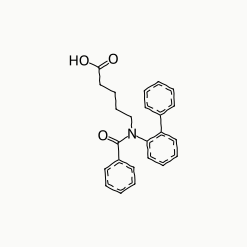 O=C(O)CCCCN(C(=O)c1ccccc1)c1ccccc1-c1ccccc1